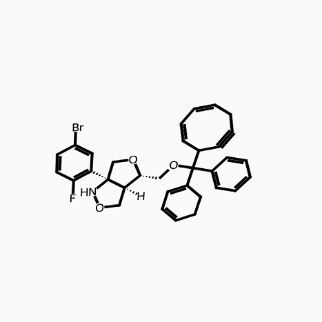 Fc1ccc(Br)cc1[C@]12CO[C@H](COC(C3=CC=CCC3)(c3ccccc3)C3C#CC/C=C\C=C/3)[C@H]1CON2